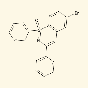 O=S1(c2ccccc2)=NC(c2ccccc2)=Cc2cc(Br)ccc21